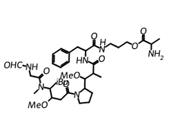 CCC(C)C(C(CC(=O)N1CCCC1C(OC)C(C)C(=O)NC(Cc1ccccc1)C(=O)NCCCOC(=O)C(C)N)OC)N(C)C(=O)CNC=O